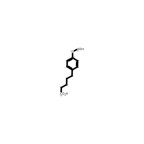 CCCCCCCCOc1ccc(CCCCC(=O)O)cc1